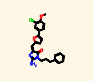 COc1ccc(-c2ccc(/C=C3/N=C(N)N(CCCc4ccccc4)C3=O)o2)cc1Cl